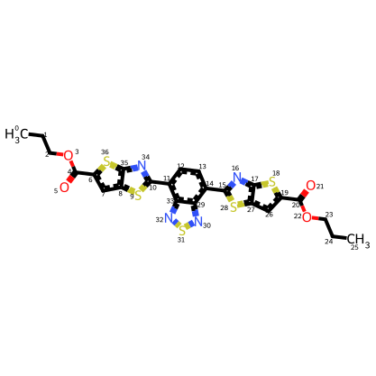 CCCOC(=O)c1cc2sc(-c3ccc(-c4nc5sc(C(=O)OCCC)cc5s4)c4nsnc34)nc2s1